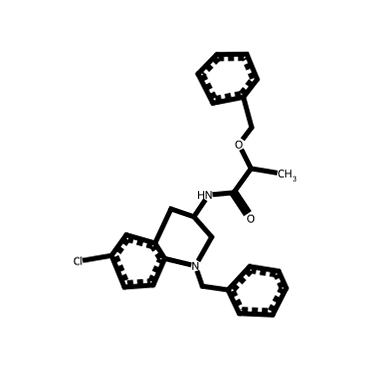 CC(OCc1ccccc1)C(=O)NC1Cc2cc(Cl)ccc2N(Cc2ccccc2)C1